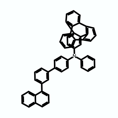 c1ccc(N(c2ccc(-c3cccc(-c4cccc5ccccc45)c3)cc2)c2ccc3c(c2)-c2c4cccc2-c2cccc-3c2-c2ccccc2-4)cc1